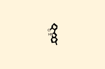 Cc1ccc2[nH]c(-c3ccccc3Cl)cc2c1